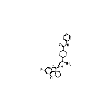 N[C@H](CNC(=O)C1(c2ccc(F)cc2Cl)CCCC1)C1CCC(C(=O)Nc2ccncc2)CC1